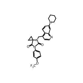 O=C1N(c2ccc(OC(F)(F)F)cc2)C(=O)C2(CC2)N1Cc1ccnc2cc(N3CCCCC3)ccc12